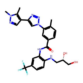 Cc1ccc(C(=O)Nc2cc(C(F)(F)F)ccc2NC[C@H](O)CO)cc1-n1cc(-c2cnn(C)c2C)nn1